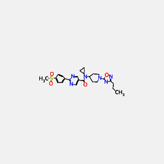 CCCc1noc(N2CCC(N(C(=O)c3cnc(-c4ccc(S(C)(=O)=O)cc4)nc3)C3CC3)CC2)n1